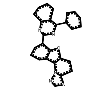 c1ccc(-c2nc(-c3cccc4c3oc3ccc5ncnn5c34)nc3ccccc23)cc1